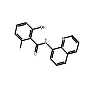 O=C(Nc1cccc2cccnc12)c1c(O)cccc1I